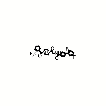 O=C(NCC(=O)N1CCN(C(=O)c2ccccc2C(F)(F)F)CC1)c1ccc(-c2cc(F)ccc2F)cc1